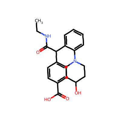 CCNC(=O)C(c1ccc(C(=O)O)cc1)c1ccccc1N1CCC(O)CC1